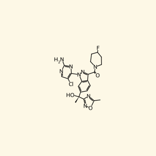 Cc1nc([C@](C)(O)c2ccc3c(C(=O)N4CCC(F)CC4)nn(-c4nc(N)ncc4Cl)c3c2)no1